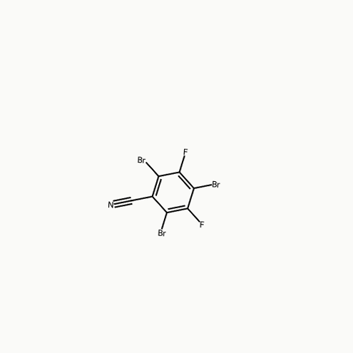 N#Cc1c(Br)c(F)c(Br)c(F)c1Br